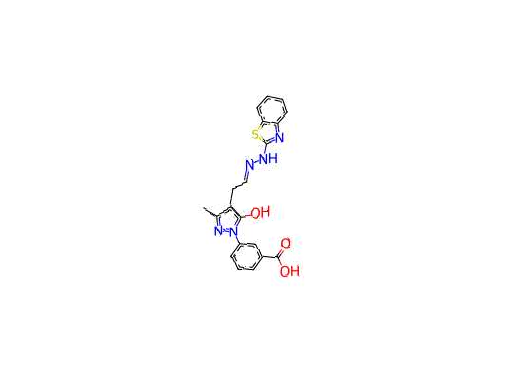 Cc1nn(-c2cccc(C(=O)O)c2)c(O)c1CC=NNc1nc2ccccc2s1